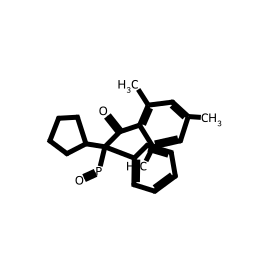 Cc1cc(C)c(C(=O)C(P=O)(c2ccccc2)C2CCCC2)c(C)c1